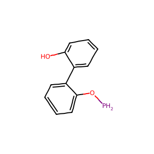 Oc1ccccc1-c1ccccc1OP